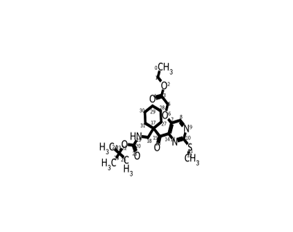 CCOC(=O)COc1cnc(SC)nc1C(=O)C1(CNC(=O)OC(C)(C)C)CCCCC1